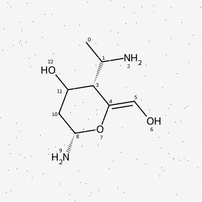 CC(N)[C@@H]1/C(=C/O)O[C@H](N)CC1O